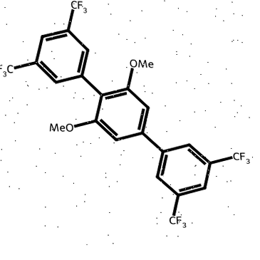 COc1cc(-c2cc(C(F)(F)F)cc(C(F)(F)F)c2)cc(OC)c1-c1cc(C(F)(F)F)cc(C(F)(F)F)c1